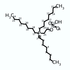 CCCCCCCC[PH](CCCCCCCC)(CCCCCCCC)CCOS(=O)(=O)O